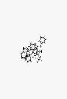 CC(C)(C)OC(=O)N[C@@H](CCc1ccccc1)C(=O)N[C@H](c1ccccc1)C(O)(c1cccnc1)c1cccnc1